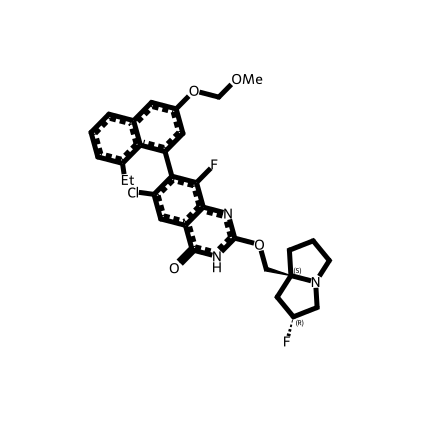 CCc1cccc2cc(OCOC)cc(-c3c(Cl)cc4c(=O)[nH]c(OC[C@@]56CCCN5C[C@H](F)C6)nc4c3F)c12